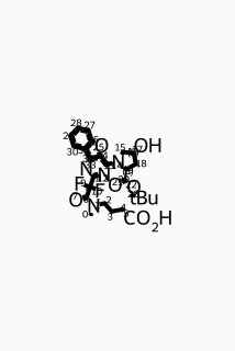 CN(CCCC(=O)O)C(=O)C(F)(F)c1nc(N2C[C@@H](O)C[C@H]2C(=O)OC(C)(C)C)c2oc3ccccc3c2n1